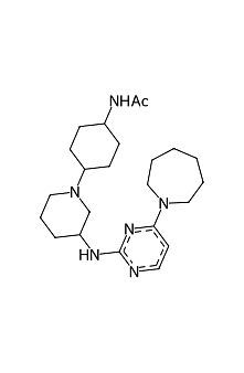 CC(=O)NC1CCC(N2CCCC(Nc3nccc(N4CCCCCC4)n3)C2)CC1